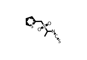 CC(N=C=S)S(=O)(=O)Cc1cccs1